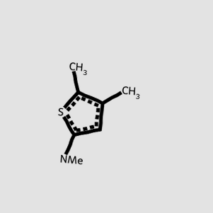 CNc1cc(C)c(C)s1